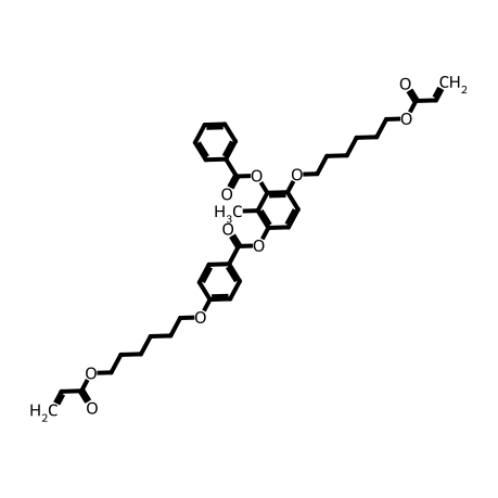 C=CC(=O)OCCCCCCOc1ccc(C(=O)Oc2ccc(OCCCCCCOC(=O)C=C)c(OC(=O)c3ccccc3)c2C)cc1